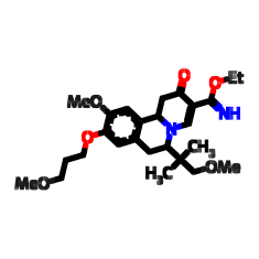 CCOC(=N)C1=CN2C(CC1=O)c1cc(OC)c(OCCCOC)cc1CC2C(C)(C)COC